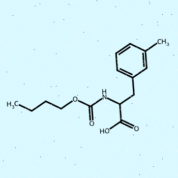 CCCCOC(=O)NC(Cc1cccc(C)c1)C(=O)O